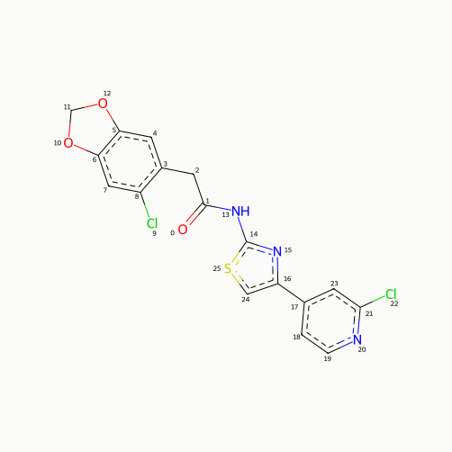 O=C(Cc1cc2c(cc1Cl)OCO2)Nc1nc(-c2ccnc(Cl)c2)cs1